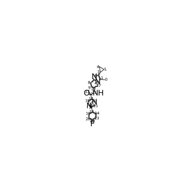 Cc1c(C2CC2)nc2ccc(NC(=O)c3cnc(-c4ccc(F)cc4)cn3)cn12